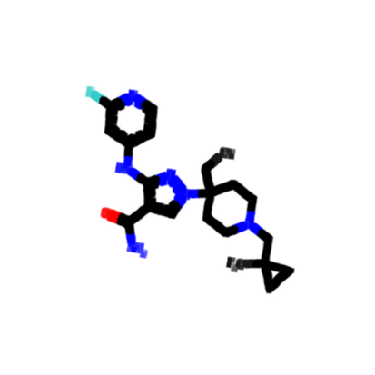 N#CCC1(n2cc(C(N)=O)c(Nc3ccnc(F)c3)n2)CCN(CC2(C(F)(F)F)CC2)CC1